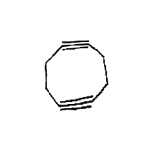 C1#CCCC#CCC1